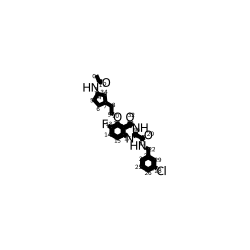 CC(=O)NC1CCC(CCOc2c(F)ccc3nc(C(=O)NCc4cccc(Cl)c4)[nH]c(=O)c23)C1